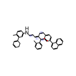 C/C=C(C(/C=C\c1ccc(-c2cccc3ccccc23)cc1)=C/C=C/Nc1ccc(C)c(C2=CC=CCC2)c1)\c1ccccc1C